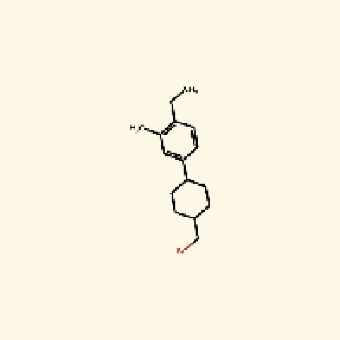 CCc1ccc(C2CCC(CBr)CC2)cc1C